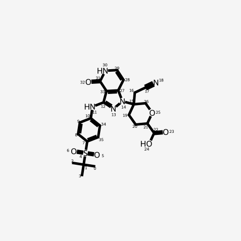 CC(C)(C)S(=O)(=O)c1ccc(Nc2nn(C3(CC#N)CCC(C(=O)O)OC3)c3cc[nH]c(=O)c23)cc1